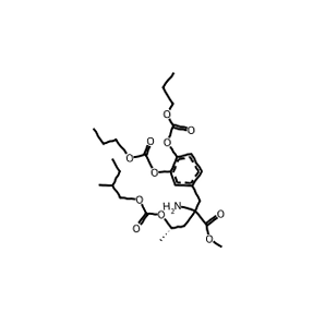 CCCOC(=O)Oc1ccc(CC(N)(C[C@H](C)OC(=O)OCC(C)CC)C(=O)OC)cc1OC(=O)OCCC